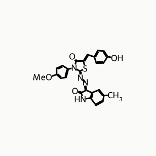 COc1ccc(N2C(=O)C(=Cc3ccc(O)cc3)SC2=NN=C2C(=O)Nc3ccc(C)cc32)cc1